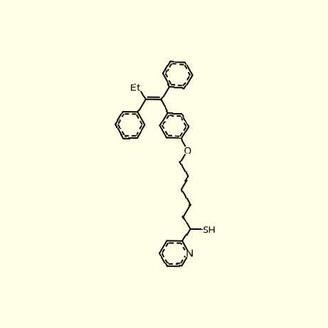 CC/C(=C(\c1ccccc1)c1ccc(OCCCCCC(S)c2ccccn2)cc1)c1ccccc1